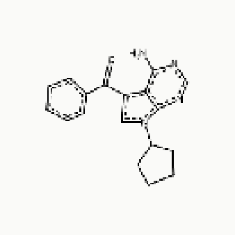 Nc1ncnc2c1c(C(=O)c1ccccc1)cn2C1CCCC1